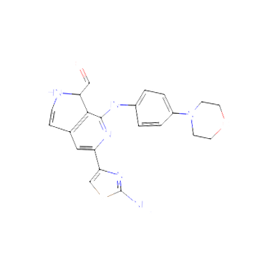 Nc1nc(-c2cc3c(c(Nc4ccc(N5CCOCC5)cc4)n2)C(C=O)NC=C3)cs1